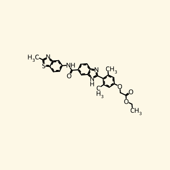 CCOC(=O)COc1cc(C)c(-c2nc3ccc(C(=O)Nc4ccc5sc(C)nc5c4)cc3[nH]2)c(C)c1